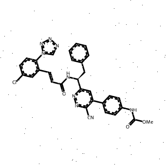 COC(=O)Nc1ccc(-c2cc([C@H](Cc3ccccc3)NC(=O)/C=C/c3cc(Cl)ccc3-n3cnnn3)nnc2C#N)cc1